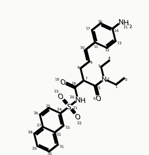 CCN(CC)C(=O)C(CC=Cc1ccc(N)cc1)C(=O)NS(=O)(=O)c1ccc2ccccc2c1